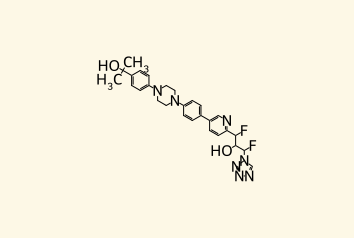 CC(C)(O)c1ccc(N2CCN(c3ccc(-c4ccc(C(F)C(O)C(F)n5cnnn5)nc4)cc3)CC2)cc1